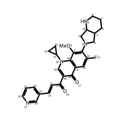 COc1c(N2CC3CCCNC3C2)c(F)cc2c(=O)c(C(=O)C=Cc3cccnc3)cn(C3CC3)c12